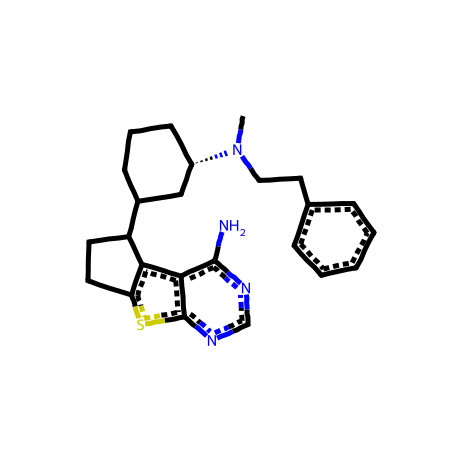 CN(CCc1ccccc1)[C@H]1CCCC(C2CCc3sc4ncnc(N)c4c32)C1